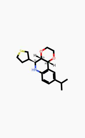 CC(C)c1ccc2c(c1)[C@H]1OCCO[C@H]1[C@H](C1CCSC1)N2